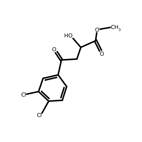 COC(=O)C(O)CC(=O)c1ccc(Cl)c(Cl)c1